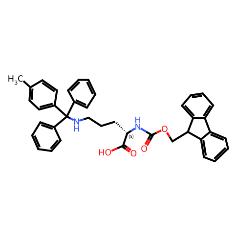 Cc1ccc(C(NCCC[C@H](NC(=O)OCC2c3ccccc3-c3ccccc32)C(=O)O)(c2ccccc2)c2ccccc2)cc1